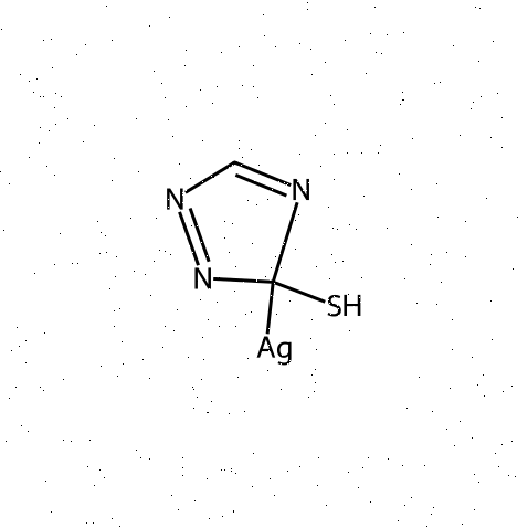 S[C]1([Ag])N=CN=N1